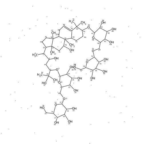 CC(C(O)CC(OC1OC(COC2OC(CO)C(O)C(O)C2O)C(O)C(O)C1O)C(C)(C)O)C1CCC2(C)C3CC=C4C(CCC(OC5OC(COC6OC(CO)C(O)C(O)C6O)C(O)C(O)C5O)C4(C)C)C3(C)C(O)CC12C